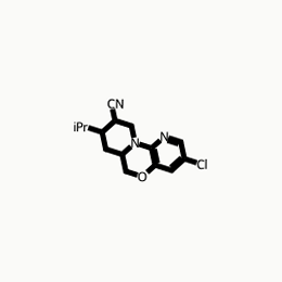 CC(C)C1CC2COc3cc(Cl)cnc3N2CC1C#N